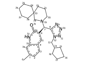 Cc1ccc2cc([C@H](c3nnnn3CC3CCCC3)N3CCCC4(CCCCC4)C3)c(=O)[nH]c2c1